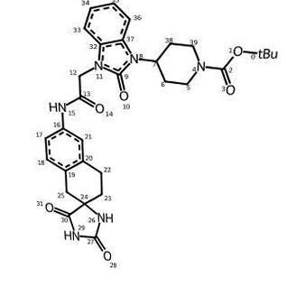 CC(C)(C)OC(=O)N1CCC(n2c(=O)n(CC(=O)Nc3ccc4c(c3)CCC3(C4)NC(=O)NC3=O)c3ccccc32)CC1